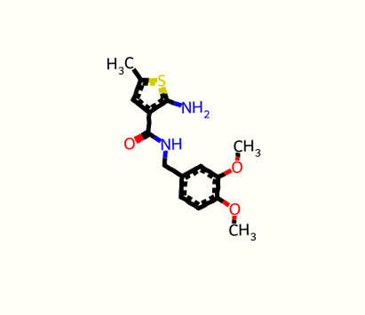 COc1ccc(CNC(=O)c2cc(C)sc2N)cc1OC